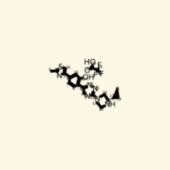 Cc1nc(-c2ccc(-c3cnc(N4CCN[C@@H](C5CC5)C4)nn3)c(O)c2)cs1.O=C(O)C(F)(F)F